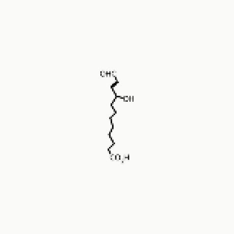 O=CC=CC(O)CCCCCCCC(=O)O